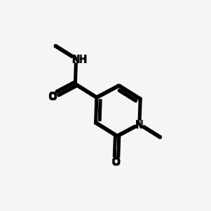 CNC(=O)c1ccn(C)c(=O)c1